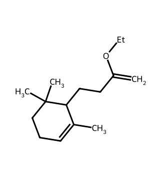 C=C(CCC1C(C)=CCCC1(C)C)OCC